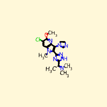 COc1nc2c(-n3ccnc3)c(-c3n[nH]c([C@@H](C)N(C)C)n3)n(C)c2cc1Cl